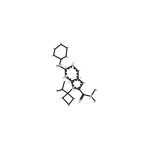 CC(C)C1(n2c(C(=O)N(C)C)cc3cnc(NC4CCCCC4)nc32)CCC1